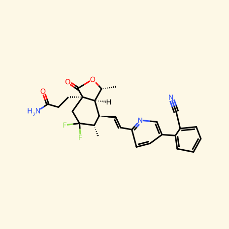 C[C@H]1OC(=O)[C@]2(CCC(N)=O)CC(F)(F)[C@@H](C)[C@H](C=Cc3ccc(-c4ccccc4C#N)cn3)[C@H]12